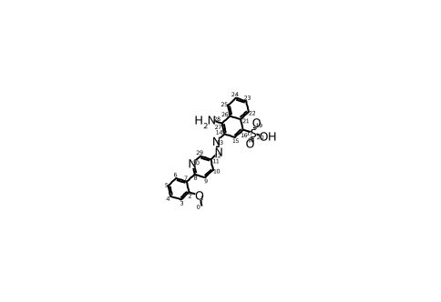 COc1ccccc1-c1ccc(/N=N/c2cc(S(=O)(=O)O)c3ccccc3c2N)cn1